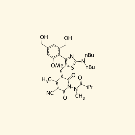 CCCCN(CCCC)c1nc(-c2c(CO)cc(CO)cc2OC)c(/C=C2\C(=O)N(N(C)C(=O)C(C)C)C(=O)C(C#N)=C2C)s1